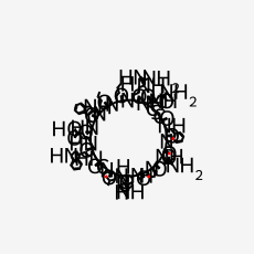 CCCC[C@H]1C(=O)N(C)[C@@H](CCCC)C(=O)N[C@@H](CCCNC(=N)N)C(=O)N[C@H](C(=O)NCC(N)=O)CSCC(=O)N[C@@H](Cc2ccccc2)C(=O)N(C)[C@@H](C)C(=O)N[C@@H](CC(N)=O)C(=O)N2CCC[C@H]2C(=O)N[C@@H](Cc2cnc[nH]2)C(=O)N[C@@H](CC(C)C)C(=O)N(C)CC(=O)N[C@@H](CCc2c[nH]c3ccccc23)C(=O)N[C@H](CCC(=O)O)C(=O)N[C@@H](Cc2c[nH]c3ccccc23)C(=O)N1C